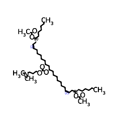 CCCCCC[C@H](C/C=C\CCCCCCCC(CCCCCCC/C=C\C[C@@H](CCCCCC)OC(C)=O)OC(=O)OCCCN(C)C)OC(C)=O